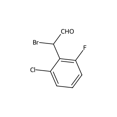 O=CC(Br)c1c(F)cccc1Cl